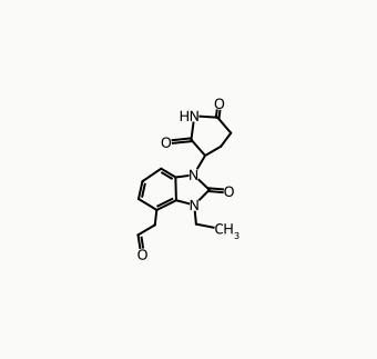 CCn1c(=O)n(C2CCC(=O)NC2=O)c2cccc(CC=O)c21